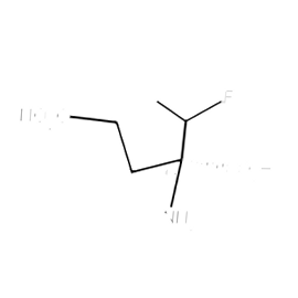 N[C@](CCC(=O)O)(C(=O)O)C(F)F